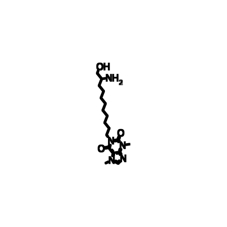 Cn1cnc2c1c(=O)n(CCCCCCCCCC(N)CO)c(=O)n2C